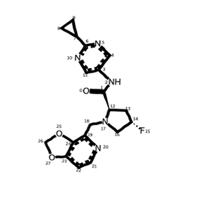 O=C(Nc1cnc(C2CC2)nc1)[C@H]1C[C@H](F)CN1Cc1nccc2c1OCO2